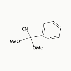 [C-]#[N+]C(OC)(OC)c1ccccc1